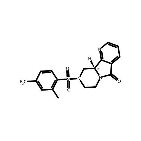 Cc1cc(C(F)(F)F)ccc1S(=O)(=O)N1CCN2C(=O)c3cccnc3[C@H]2C1